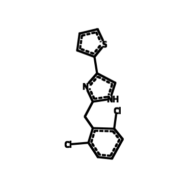 Clc1cccc(Cl)c1Cc1nc(-c2cccs2)c[nH]1